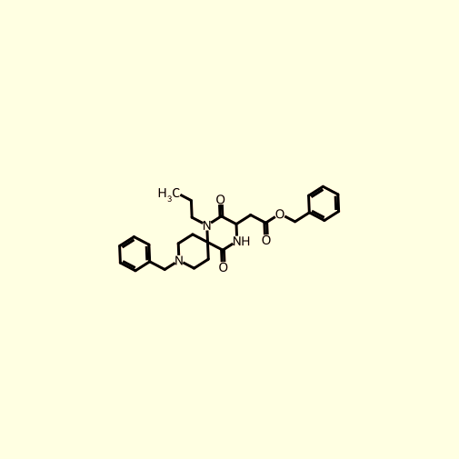 CCCN1C(=O)C(CC(=O)OCc2ccccc2)NC(=O)C12CCN(Cc1ccccc1)CC2